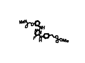 CNC(=O)COc1cccc(Nc2ncc(F)c(Nc3ccc(CCOC(=O)OC)cc3)n2)c1